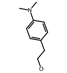 CN(C)c1ccc(CC[O])cc1